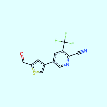 N#Cc1ncc(-c2csc(C=O)c2)cc1C(F)(F)F